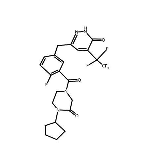 O=C(c1cc(Cc2cc(C(F)(F)C(F)(F)F)c(=O)[nH]n2)ccc1F)N1CCN(C2CCCC2)C(=O)C1